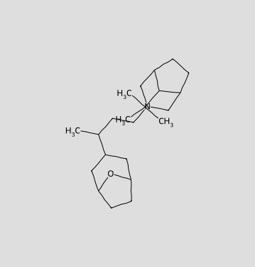 CC(CCN1CC2CCC(C1)C2C(C)(C)C)C1CC2CCC(C1)O2